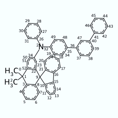 CC1(C)c2ccccc2C2(c3ccccc3-c3ccccc32)c2cc(N(c3ccccc3)c3ccc(-c4cccc(-c5ccccc5)c4)cc3)ccc21